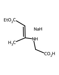 CCOC(=O)/C=C(\C)NCC(=O)O.[NaH]